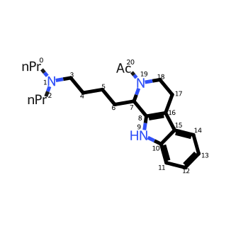 CCCN(CCC)CCCCC1c2[nH]c3ccccc3c2CCN1C(C)=O